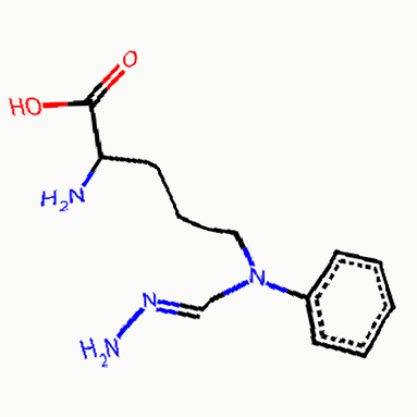 NN=CN(CCCC(N)C(=O)O)c1ccccc1